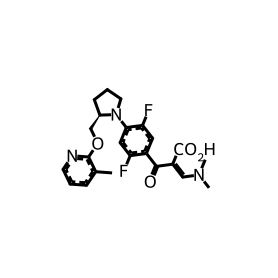 Cc1cccnc1OC[C@H]1CCCN1c1cc(F)c(C(=O)/C(=C/N(C)C)C(=O)O)cc1F